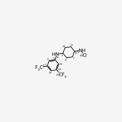 FC(F)(F)c1cc(NC2CCC(NCl)CC2)cc(C(F)(F)F)c1